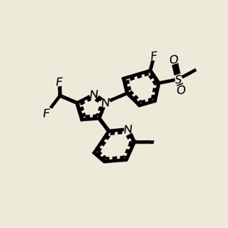 Cc1cccc(-c2cc(C(F)F)nn2-c2ccc(S(C)(=O)=O)c(F)c2)n1